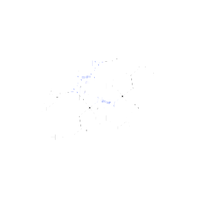 CC(=O)ON/N=N/NOC(C)=O.CC(C#N)(CCC(=O)O)/N=N/C(C)(C#N)CCC(=O)O.CCC.CCC